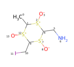 CC1[S+]([O-])C(CN)[S+]([O-])C(CI)[S+]1[O-]